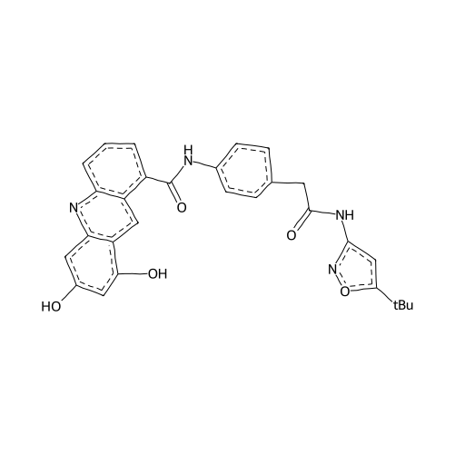 CC(C)(C)c1cc(NC(=O)Cc2ccc(NC(=O)c3cccc4nc5cc(O)cc(O)c5cc34)cc2)no1